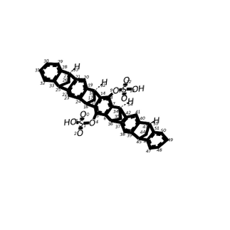 O=S(=O)(O)Oc1c2c(c(OS(=O)(=O)O)c3c1C1C[C@H]3c3cc4c(cc31)C1C[C@H]4c3ccccc31)[C@@H]1CC2c2cc3c(cc21)[C@@H]1CC3c2ccccc21